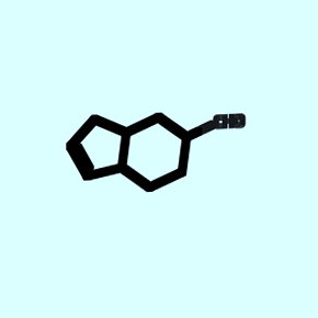 O=CC1CCC2C=CCC2C1